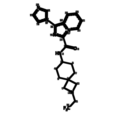 O=C(NC1CCC2(CC1)CN(CC(F)(F)F)C2)c1nc(-n2ccnc2)c2ccccn12